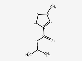 CC(C)CC(=O)C1=CC(C)CC1